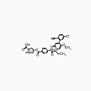 CCC(C(=O)Nc1ccc(C(=O)O[C@H]2CN[C@@H](C(=O)O)C2)cc1)n1cc(OC)c(-c2cc(Cl)ccc2C#N)cc1=O